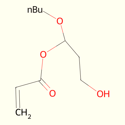 C=CC(=O)OC(CCO)OCCCC